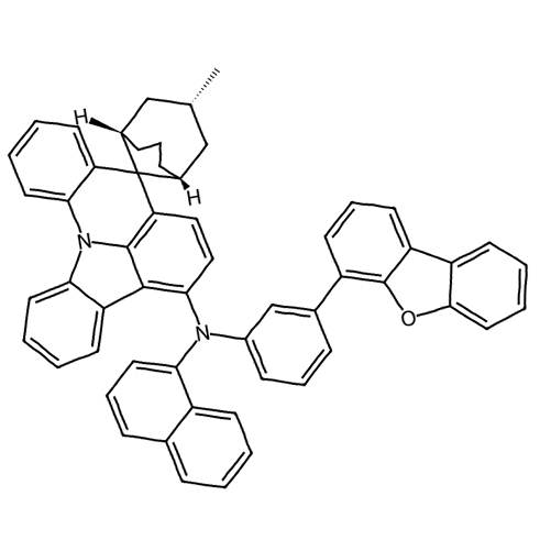 C[C@@H]1C[C@H]2CCC[C@@H](C1)C21c2ccccc2-n2c3ccccc3c3c(N(c4cccc(-c5cccc6c5oc5ccccc56)c4)c4cccc5ccccc45)ccc1c32